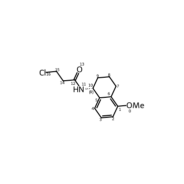 COc1cccc2c1CCC[C@H]2NC(=O)CCCl